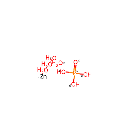 O.O.O.O.O=P(O)(O)O.[Zn]